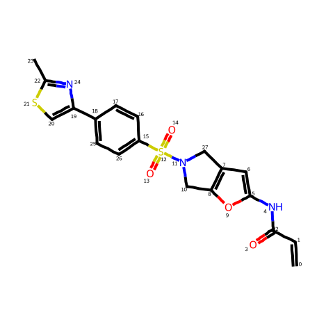 C=CC(=O)Nc1cc2c(o1)CN(S(=O)(=O)c1ccc(-c3csc(C)n3)cc1)C2